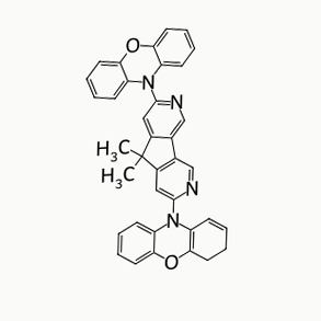 CC1(C)c2cc(N3C4=C(CCC=C4)Oc4ccccc43)ncc2-c2cnc(N3c4ccccc4Oc4ccccc43)cc21